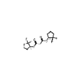 O=C(CC(=O)O[C@H]1CCCC1(F)F)O[C@H]1CCCC1(F)F